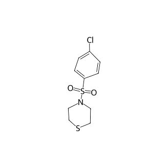 O=S(=O)(c1ccc(Cl)cc1)N1CCSCC1